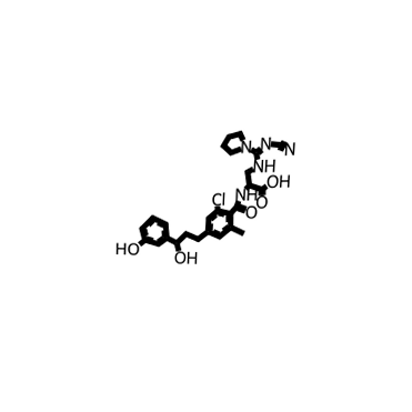 Cc1cc(CCC(O)c2cccc(O)c2)cc(Cl)c1C(=O)NC(CN/C(=N\C#N)N1CCCC1)C(=O)O